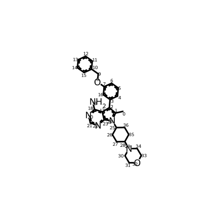 Cc1c(-c2cccc(OCc3ccccc3)c2)c2c(N)ncnc2n1C1CCC(N2CCOCC2)CC1